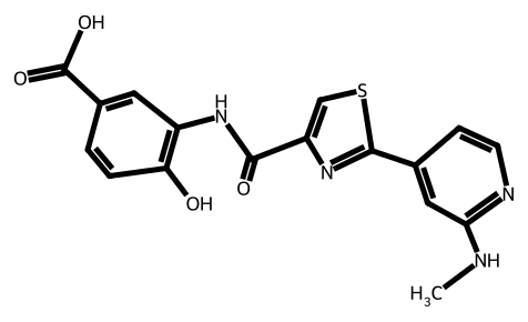 CNc1cc(-c2nc(C(=O)Nc3cc(C(=O)O)ccc3O)cs2)ccn1